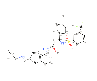 CC(C)(C)CNCc1ccc2c(c1)CCC[C@H]2NC(=O)C[C@@H](NS(=O)(=O)c1cccc(C(F)(F)F)c1)c1ccc(F)cc1